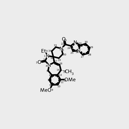 CCN1C(=O)N2Cc3cc(OC)cc(OC)c3[C@@H](C)C=C2C12CCN(C(=O)c1cn3ccccc3n1)CC2